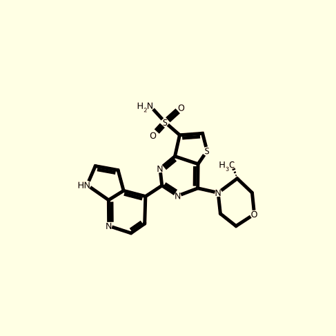 C[C@@H]1COCCN1c1nc(-c2ccnc3[nH]ccc23)nc2c(S(N)(=O)=O)csc12